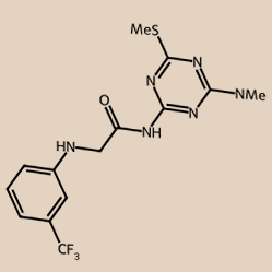 CNc1nc(NC(=O)CNc2cccc(C(F)(F)F)c2)nc(SC)n1